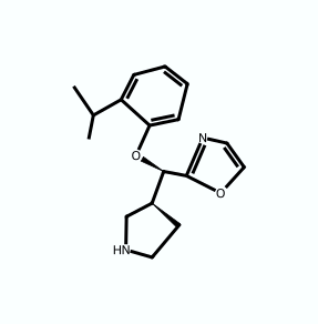 CC(C)c1ccccc1O[C@@H](c1ncco1)[C@H]1CCNC1